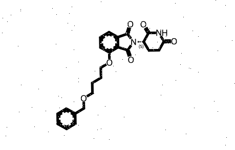 O=C1CC[C@H](N2C(=O)c3cccc(OCCCCOCc4ccccc4)c3C2=O)C(=O)N1